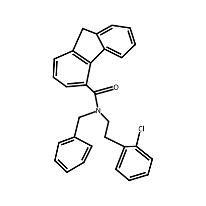 O=C(c1cccc2c1-c1ccccc1C2)N(CCc1ccccc1Cl)Cc1ccccc1